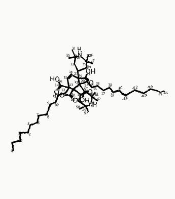 CCCCCCCCCCCCCC1(C(=O)O)C=CC(C(=O)O)(C2CC(C)(C)NC(C)(C)C2)C(CCCCCCCCCCCCC)(C(=O)O)C1(C(=O)O)C1CC(C)(C)NC(C)(C)C1